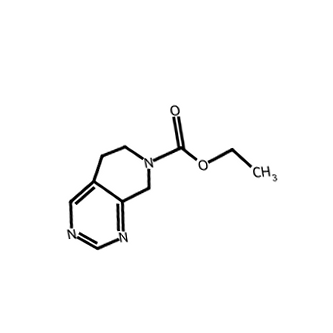 CCOC(=O)N1CCc2cncnc2C1